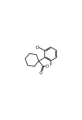 O=C(Cl)C1(c2c(F)cccc2Cl)CCCCC1